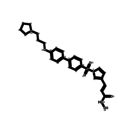 O=C(C=Cc1ccn(S(=O)(=O)c2ccc(-c3ccc(OCCCN4CCCC4)cc3)cc2)c1)NO